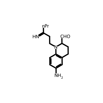 CCCC(=N)CCN1c2ccc(N)cc2CCC1C=O